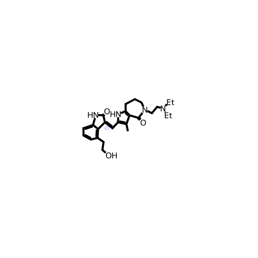 CCN(CC)CCN1CCCc2[nH]c(/C=C3\C(=O)Nc4cccc(CCO)c43)c(C)c2C1=O